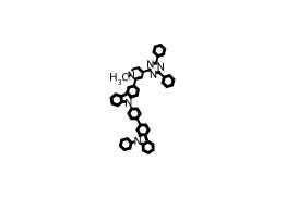 CN1CC=C(c2nc(-c3ccccc3)nc(-c3ccccc3)n2)C=C1c1ccc2c(c1)c1ccccc1n2-c1ccc(-c2ccc3c4ccccc4n(-c4ccccc4)c3c2)cc1